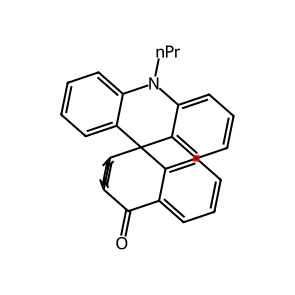 CCCN1c2ccccc2C2(c3ccccc3C(=O)c3ccccc32)c2ccccc21